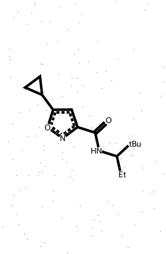 CCC(NC(=O)c1cc(C2CC2)on1)C(C)(C)C